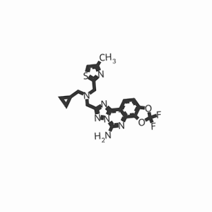 Cc1csc(CN(Cc2nc3c4ccc5c(c4nc(N)n3n2)OC(F)(F)O5)CC2CC2)n1